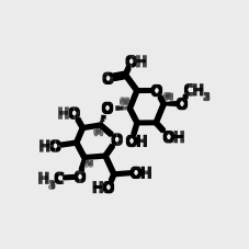 CO[C@@H]1OC(C(=O)O)[C@@H](O[C@@H]2OC(C(O)O)[C@@H](OC)C(O)C2O)C(O)C1O